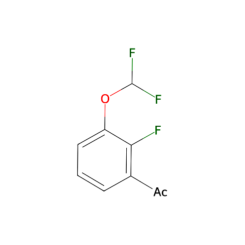 CC(=O)c1cccc(OC(F)F)c1F